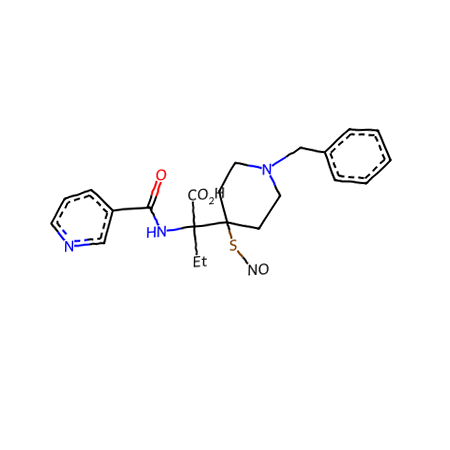 CCC(NC(=O)c1cccnc1)(C(=O)O)C1(SN=O)CCN(Cc2ccccc2)CC1